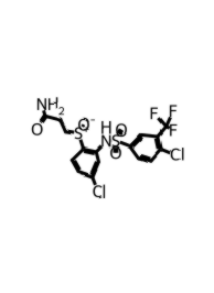 NC(=O)CC[S+]([O-])c1ccc(Cl)cc1NS(=O)(=O)c1ccc(Cl)c(C(F)(F)F)c1